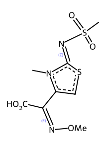 CO/N=C(/C(=O)O)c1cs/c(=N\S(C)(=O)=O)n1C